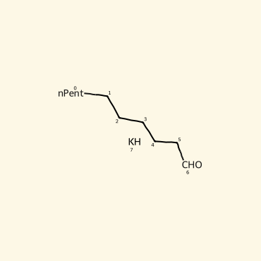 CCCCCCCCCCC=O.[KH]